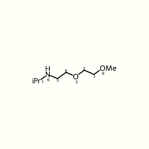 COCCOCCNC(C)C